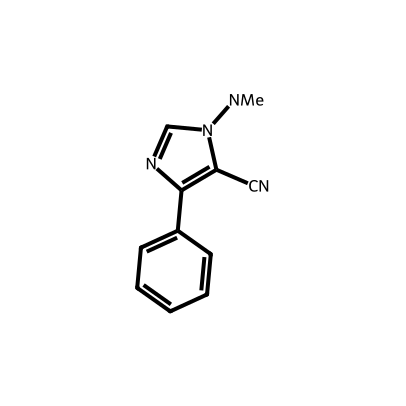 CNn1cnc(-c2ccccc2)c1C#N